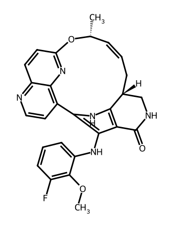 COc1c(F)cccc1Nc1c2[nH]c3c1C(=O)NC[C@H]3C/C=C\[C@@H](C)Oc1ccc3nccc-2c3n1